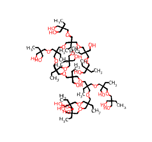 CCC(CC)(CO)COCC(CC)(CO)COCC(CC)(COCC(CC)(CO)CO)COCC(CC)(COCC(CC)(CO)CO)COCC(CC)(COCC(CC)(CO)COC)COCC(CC)(CO)COCC(CC)(COCC(CC)(CO)COCC(CC)(CO)CO)COCC(CC)(COCC(CC)(CO)CO)COCC(CC)(CO)CO